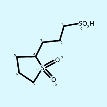 O=S(=O)(O)CCCC1CCCS1(=O)=O